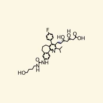 CC(C)c1nc2c(c(-c3ccc(F)cc3)c1/C=C/[C@@H](O)C[C@@H](O)CC(=O)O)CCCc1cc(NC(=O)NCCCCO)ccc1-2